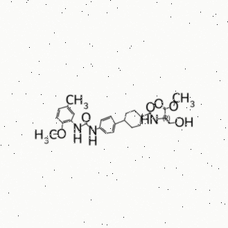 COC(=O)[C@@H](CO)NC(=O)C1CCC(c2ccc(NC(=O)Nc3cc(C)ccc3OC)cc2)CC1